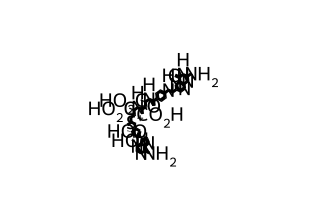 C[S+](CC[C@H](NC(C[C@H](NC(=O)c1ccc(NCc2cnc3nc(N)[nH]c(=O)c3n2)cc1)C(=O)O)C(=O)O)C(=O)O)C[C@H]1O[C@@H](n2cnc3c(N)ncnc32)[C@H](O)[C@@H]1O